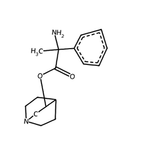 CC(N)(C(=O)OC1CN2CCC1CC2)c1ccccc1